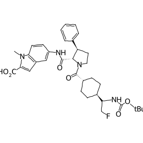 Cn1c(C(=O)O)cc2cc(NC(=O)[C@@H]3[C@@H](c4ccccc4)CCN3C(=O)[C@H]3CC[C@H](C(CF)NC(=O)OC(C)(C)C)CC3)ccc21